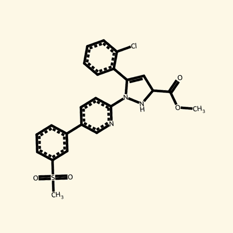 COC(=O)C1C=C(c2ccccc2Cl)N(c2ccc(-c3cccc(S(C)(=O)=O)c3)cn2)N1